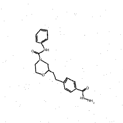 NNC(=O)c1ccc(CCC2CN(C(=O)Nc3ccccc3)CCO2)cc1